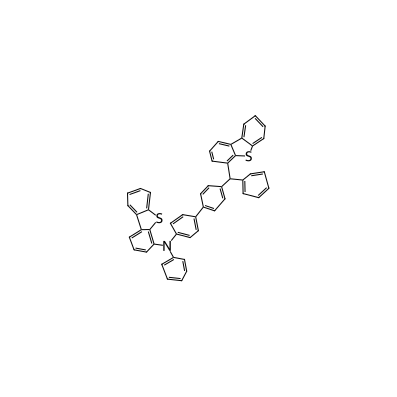 c1ccc(C(c2ccc(-c3ccc(N(c4ccccc4)c4cccc5c4sc4ccccc45)cc3)cc2)c2cccc3c2sc2ccccc23)cc1